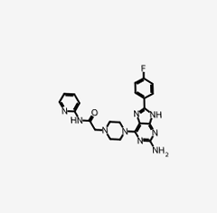 Nc1nc(N2CCN(CC(=O)Nc3ccccn3)CC2)c2nc(-c3ccc(F)cc3)[nH]c2n1